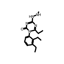 CCc1cccc(-n2c(CC)nc(NNC)nc2=O)c1CC